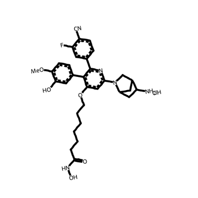 COc1ccc(-c2c(OCCCCCCC(=O)NO)cc(N3CC4CC3CC4N)nc2-c2ccc(C#N)c(F)c2)cc1O.Cl